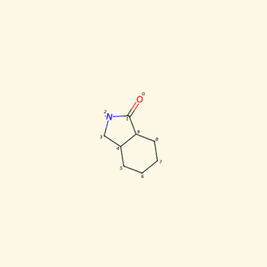 O=C1[N]CC2CCCCC12